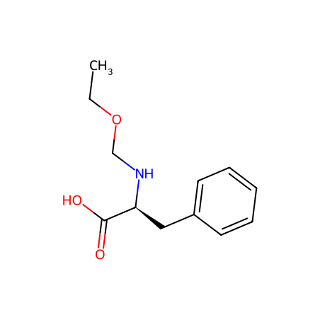 CCOCN[C@@H](Cc1ccccc1)C(=O)O